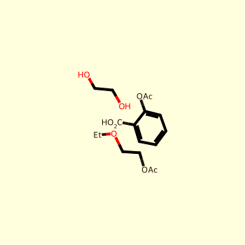 CC(=O)Oc1ccccc1C(=O)O.CCOCCOC(C)=O.OCCO